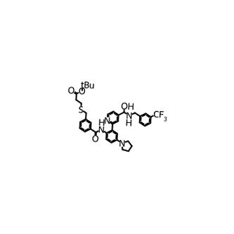 CC(C)(C)OC(=O)CCSCc1cccc(C(=O)Nc2ccc(N3CCCC3)cc2-c2cc(C(O)NCc3cccc(C(F)(F)F)c3)ccn2)c1